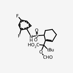 CC(C)(C)C(OC=O)(C(=O)O)C1=CCCCC1S(=O)(=O)Nc1ccc(F)cc1F